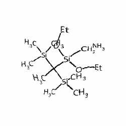 CCO[Si](C)(OCC)C(C)([Si](C)(C)C)[Si](C)(C)C.N